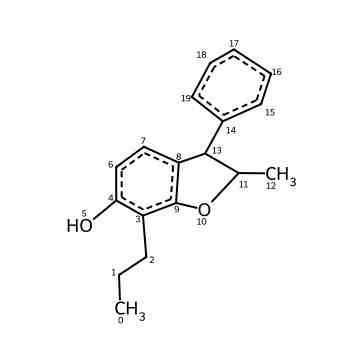 CCCc1c(O)ccc2c1OC(C)C2c1ccccc1